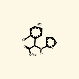 CCN(c1cccs1)C(C(=O)OC)c1ccccc1Cl.Cl